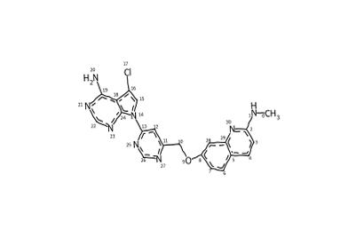 CNc1ccc2ccc(OCc3cc(-n4cc(Cl)c5c(N)ncnc54)ncn3)cc2n1